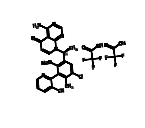 COc1c([C@H](C)n2ccc(=O)c3c(N)ncnc32)cc(Cl)c(C)c1-c1ncccc1C#N.O=C(O)C(F)(F)F.O=C(O)C(F)(F)F